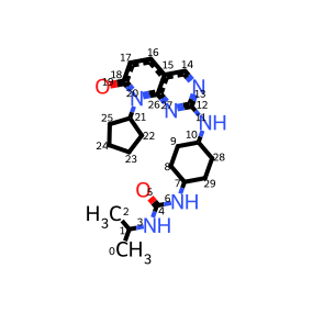 CC(C)NC(=O)NC1CCC(Nc2ncc3ccc(=O)n(C4CCCC4)c3n2)CC1